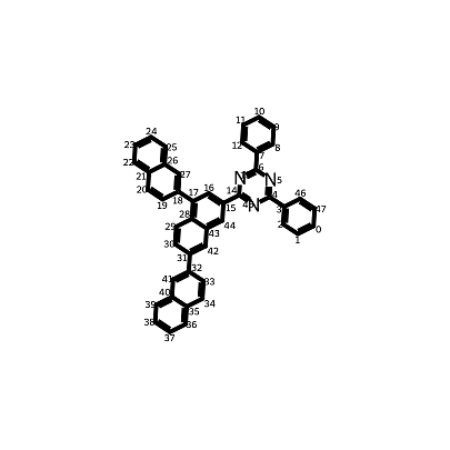 c1ccc(-c2nc(-c3ccccc3)nc(-c3cc(-c4ccc5ccccc5c4)c4ccc(-c5ccc6ccccc6c5)cc4c3)n2)cc1